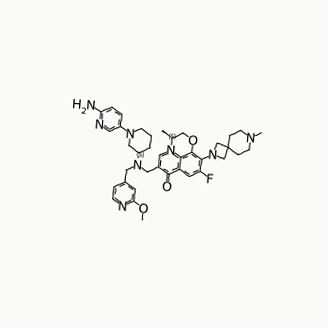 COc1cc(CN(Cc2cn3c4c(c(N5CC6(CCN(C)CC6)C5)c(F)cc4c2=O)OC[C@@H]3C)[C@H]2CCCN(c3ccc(N)nc3)C2)ccn1